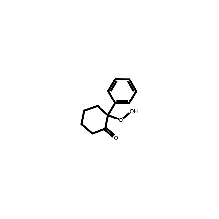 O=C1CCCCC1(OO)c1ccccc1